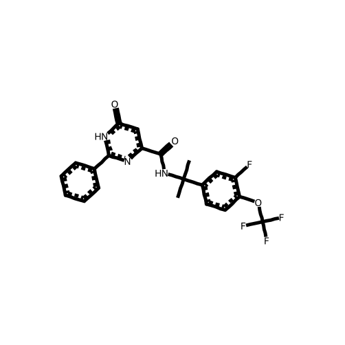 CC(C)(NC(=O)c1cc(=O)[nH]c(-c2ccccc2)n1)c1ccc(OC(F)(F)F)c(F)c1